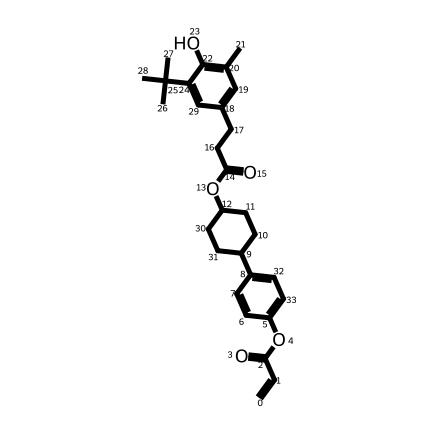 C=CC(=O)Oc1ccc(C2CCC(OC(=O)CCc3cc(C)c(O)c(C(C)(C)C)c3)CC2)cc1